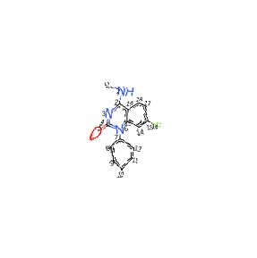 CNc1nc(=O)n(-c2ccccc2)c2cc(F)ccc12